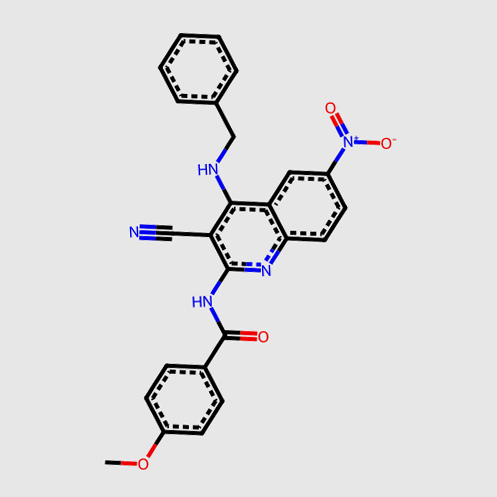 COc1ccc(C(=O)Nc2nc3ccc([N+](=O)[O-])cc3c(NCc3ccccc3)c2C#N)cc1